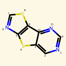 [c]1ncc2sc3ncsc3c2n1